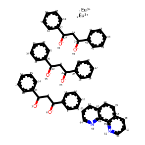 [Eu+3].[Eu+3].[O-]C(CC([O-])c1ccccc1)c1ccccc1.[O-]C(CC([O-])c1ccccc1)c1ccccc1.[O-]C(CC([O-])c1ccccc1)c1ccccc1.c1cnc2c(c1)ccc1cccnc12